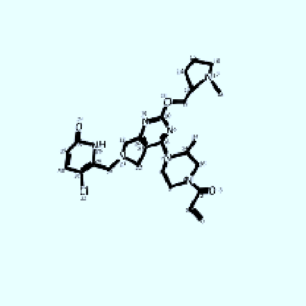 C=CC(=O)N1CCN(c2nc(OCC3CCCN3C)nc3c2CN(Cc2[nH]c(=O)ccc2Cl)C3)C(C)C1